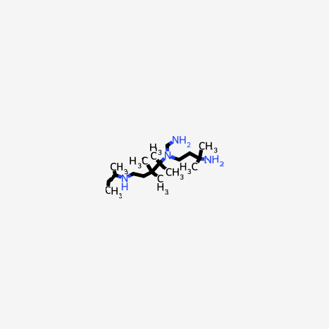 CCC(C)NCCC(C)(C)C(C)(C)N(CN)CCC(C)(C)N